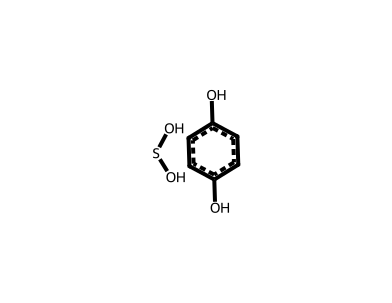 OSO.Oc1ccc(O)cc1